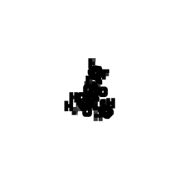 CN1[C@H]2CC[C@H](C2)[C@H]1Cn1cc(C(=O)NCc2c(F)cc(F)cc2F)c(=O)c(O)c1C(N)=O